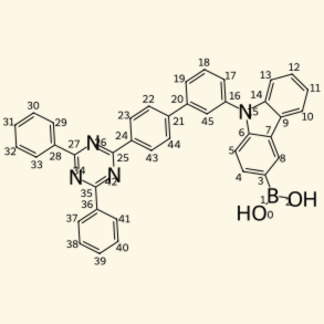 OB(O)c1ccc2c(c1)c1ccccc1n2-c1cccc(-c2ccc(-c3nc(-c4ccccc4)nc(-c4ccccc4)n3)cc2)c1